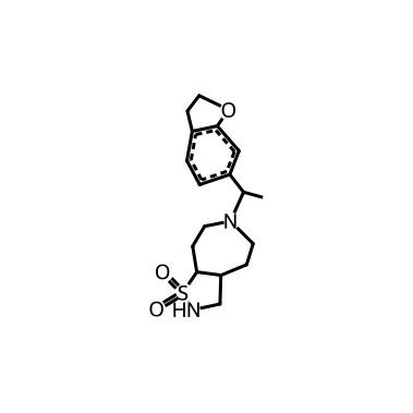 CC(c1ccc2c(c1)OCC2)N1CCC2CNS(=O)(=O)C2CC1